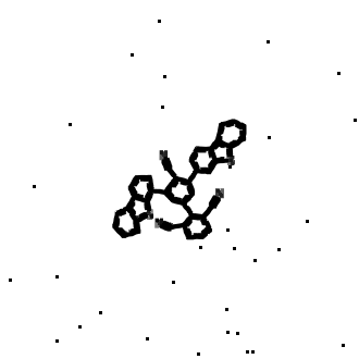 N#Cc1cccc(C#N)c1-c1cc(-c2ccc3c(c2)sc2ccccc23)c(C#N)c(-c2cccc3c2sc2ccccc23)c1